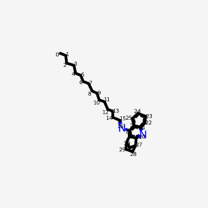 CCCCCCCCCCCCCCCC=Nc1c2c(nc3ccccc13)C1CCC2C1